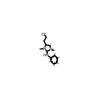 CN1CC(CCCl)N(C)C1Nc1ccccc1